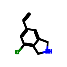 C=Cc1cc(Cl)c2c(c1)CNC2